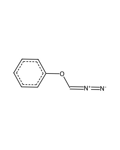 [N-]=[N+]=COc1ccccc1